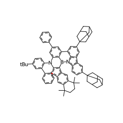 CC(C)(C)c1ccc(N2c3cc(-c4ccccc4)cc4c3B(c3c2sc2cc5c(cc32)C(C)(C)CCC5(C)C)n2c3ccc(C56CC7CC(CC(C7)C5)C6)cc3c3cc(C56CC7CC(CC(C7)C5)C6)cc-4c32)c(-c2ccccc2)c1